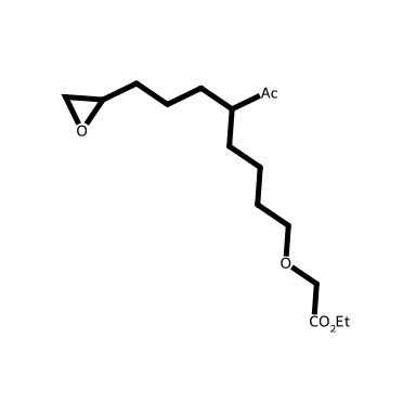 CCOC(=O)COCCCCC(CCCC1CO1)C(C)=O